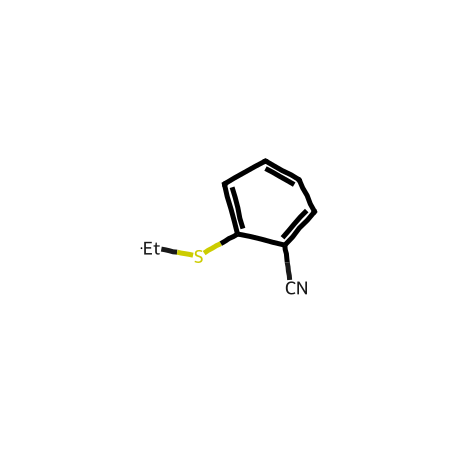 C[CH]Sc1ccccc1C#N